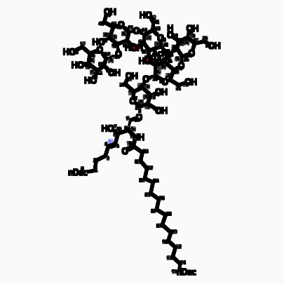 CCCCCCCCCCCCC/C=C/[C@@H](O)[C@H](CO[C@@H]1OC(CO)[C@@H](O[C@@H]2OC(CO)[C@H](O[C@@H]3OC(CO)[C@H](O)[C@H](O)C3NC(C)=O)[C@H](O[C@@H]3OC(CO)[C@@H](O[C@@H]4OC(CO)[C@H](O)[C@H](O[C@H]5OC(CO)[C@H](O)[C@H](O)C5O)C4O)[C@H](O)C3NC(C)=O)C2O)[C@H](O)C1O)NC(=O)CCCCCCCCCCCCCCCCCCCCCCCCC